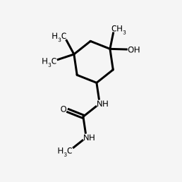 CNC(=O)NC1CC(C)(C)CC(C)(O)C1